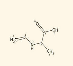 C=CNC(C)C(=O)O